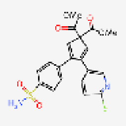 COC(=O)C1(C(=O)OC)C=C(c2ccc(S(N)(=O)=O)cc2)C(c2ccc(F)nc2)=C1